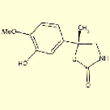 COc1ccc([C@]2(C)CNC(=O)O2)cc1O